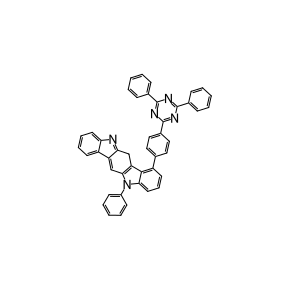 C1=C2C(=Nc3ccccc32)Cc2c1n(-c1ccccc1)c1cccc(-c3ccc(-c4nc(-c5ccccc5)nc(-c5ccccc5)n4)cc3)c21